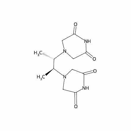 C[C@@H]([C@H](C)N1CC(=O)NC(=O)C1)N1CC(=O)NC(=O)C1